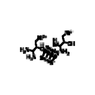 N#C[S-].N#C[S-].N#C[S-].N#C[S-].NC(N)C(O)[CH2][Ni+2].NC(N)C(O)[CH2][Ni+2]